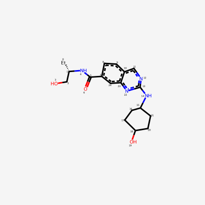 CC[C@@H](CO)NC(=O)c1ccc2cnc(NC3CCC(O)CC3)nc2c1